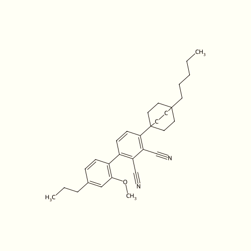 CCCCCC12CCC(c3ccc(-c4ccc(CCC)cc4OC)c(C#N)c3C#N)(CC1)CC2